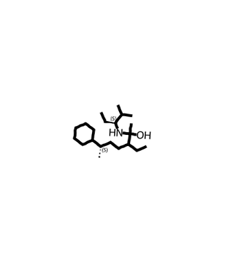 CCC(CC[C@H](C)C1CCCCC1)C(C)(O)N[C@@H](CC)C(C)C